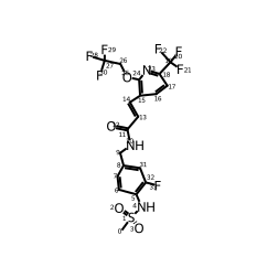 CS(=O)(=O)Nc1ccc(CNC(=O)C=Cc2ccc(C(F)(F)F)nc2OCC(F)(F)F)cc1F